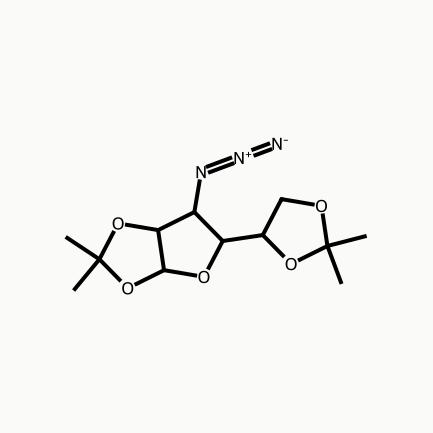 CC1(C)OCC(C2OC3OC(C)(C)OC3C2N=[N+]=[N-])O1